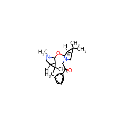 CN1C[C@@H]2C(C1OC1[C@@H]3C(CN1CC(=O)c1ccccc1)C3(C)C)C2(C)C